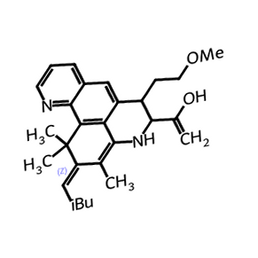 C=C(O)C1NC2=C(C)/C(=C\C(C)CC)C(C)(C)c3c2c(cc2cccnc32)C1CCOC